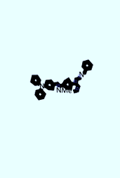 C\C=C/C(=C\C=N\Cc1ccccc1)c1ccc(/C(=C/c2ccc(N(c3ccccc3)c3ccccc3)cc2)NC)cc1